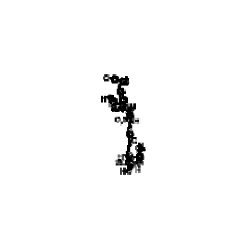 Cc1ncsc1-c1ccc([C@H](C)NC(=O)[C@@H]2C[C@@H](O)CN2C(=O)[C@@H](NC(=O)CCCCCC(=O)N2CCN(CCCNc3ccc(S(=O)(=O)NC(=O)c4ccc(N5CCN(CC6=C(c7ccc(Cl)cc7)CC(C)(C)OC6)CC5)cc4N4CCCOc5nc6[nH]ccc6cc54)cc3[N+](=O)[O-])CC2)C(C)(C)C)cc1